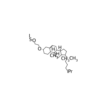 CC(C)CCC[C@@H](C)C1CC[C@H]2[C@@H]3CC=C4C[C@@H](OCCOSI)CC[C@]4(C)[C@H]3CC[C@]12C